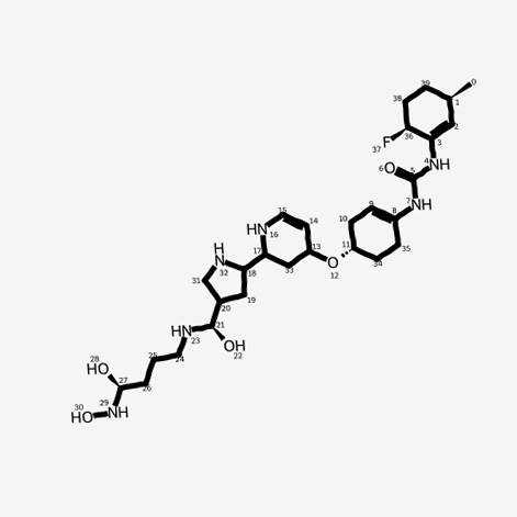 C[C@H]1C=C(NC(=O)NC2=CC[C@@H](OC3C=CNC(C4CC([C@@H](O)NCCC[C@H](O)NO)CN4)C3)CC2)[C@@H](F)CC1